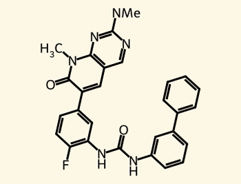 CNc1ncc2cc(-c3ccc(F)c(NC(=O)Nc4cccc(-c5ccccc5)c4)c3)c(=O)n(C)c2n1